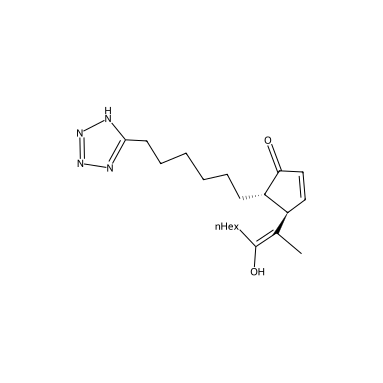 CCCCCC/C(O)=C(/C)[C@@H]1C=CC(=O)[C@H]1CCCCCCc1nnn[nH]1